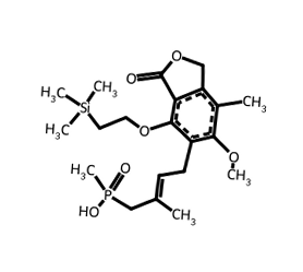 COc1c(C)c2c(c(OCC[Si](C)(C)C)c1C/C=C(\C)CP(C)(=O)O)C(=O)OC2